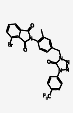 Cc1cc(Cn2nnn(-c3ccc(C(F)(F)F)cc3)c2=O)ccc1N1C(=O)c2cccc(Br)c2C1=O